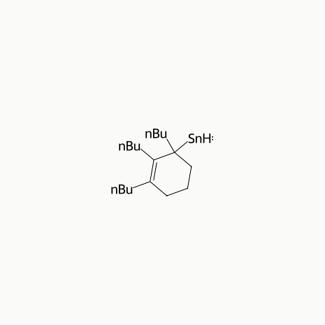 CCCCC1=C(CCCC)[C]([SnH])(CCCC)CCC1